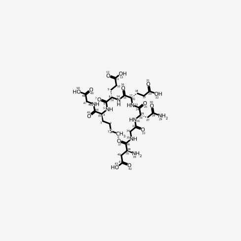 CSCC[C@H](NC(=O)[C@H](CCC(=O)O)NC(=O)[C@H](CCC(=O)O)NC(=O)[C@H](CC(N)=O)NC(=O)CNC(=O)[C@@H](N)CC(=O)O)C(=O)NCC(=O)O